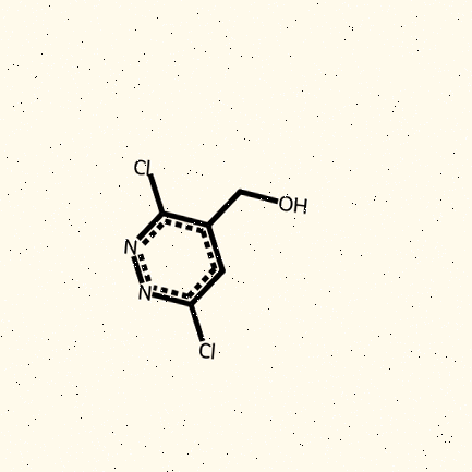 OCc1cc(Cl)nnc1Cl